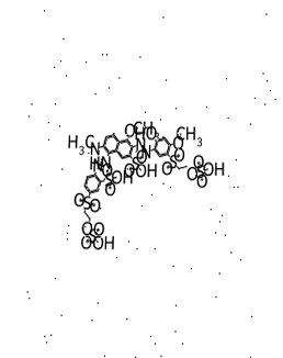 CNc1ccc2c(OC)c(/N=N/c3cc(S(=O)(=O)CCOS(=O)(=O)O)c(OC)cc3O)c(S(=O)(=O)O)cc2c1/N=N/c1ccc(S(=O)(=O)CCOS(=O)(=O)O)cc1S(=O)(=O)O